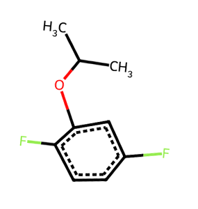 CC(C)Oc1cc(F)ccc1F